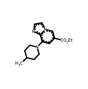 CCOC(=O)c1cc(N2CCC(C)CC2)c2nccn2c1